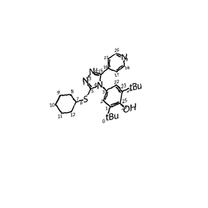 CC(C)(C)c1cc(-n2c(SC3CCCCC3)nnc2-c2ccncc2)cc(C(C)(C)C)c1O